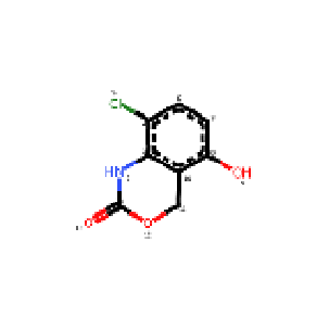 O=C1Nc2c(Cl)ccc(O)c2CO1